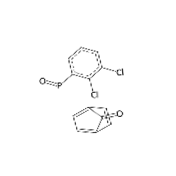 O=C1C2=CC=C1C=C2.O=Pc1cccc(Cl)c1Cl